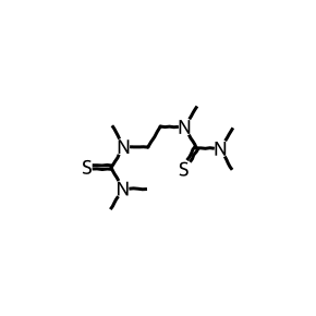 CN(C)C(=S)N(C)CCN(C)C(=S)N(C)C